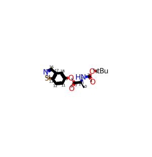 C[C@H](NC(=O)OC(C)(C)C)C(=O)Oc1ccc2sncc2c1